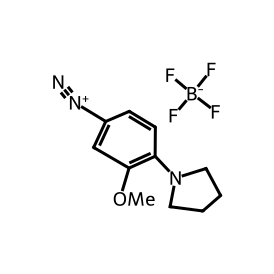 COc1cc([N+]#N)ccc1N1CCCC1.F[B-](F)(F)F